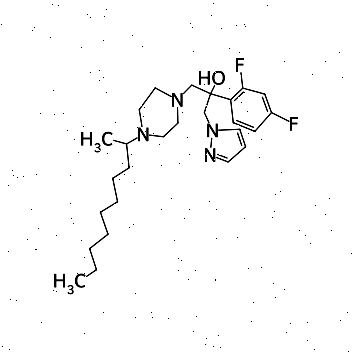 CCCCCCCCC(C)N1CCN(CC(O)(Cn2cccn2)c2ccc(F)cc2F)CC1